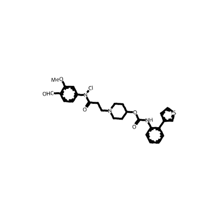 COc1cc(N(Cl)C(=O)CCN2CCC(OC(=O)Nc3ccccc3-c3ccsc3)CC2)ccc1C=O